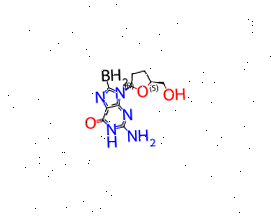 Bc1nc2c(=O)[nH]c(N)nc2n1[C@H]1CC[C@@H](CO)O1